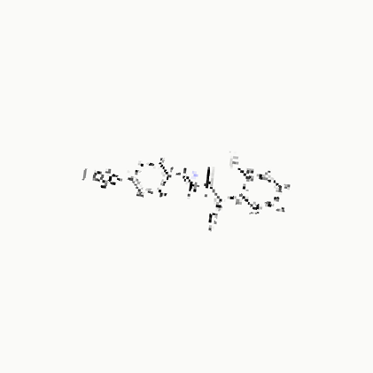 O=C(O)c1ccc(/C=N/NC(=O)c2ccccc2F)cc1